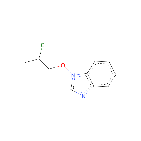 CC(Cl)COn1cnc2ccccc21